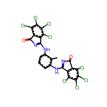 Cc1c(NC2=NC(=O)c3c(Cl)c(Cl)c(Cl)c(Cl)c32)cccc1NC1=NC(=O)c2c(Cl)c(Cl)c(Cl)c(Cl)c21